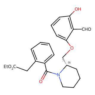 CCOC(=O)Cc1ccccc1C(=O)N1CCCC[C@H]1COc1cccc(O)c1C=O